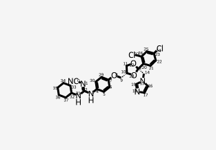 N#CN=C(Nc1ccc(OC[C@@H]2CO[C@@](Cn3ccnc3)(c3ccc(Cl)cc3Cl)O2)cc1)NC1CCCCC1